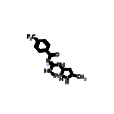 CC(C)N/C(=N/C(=O)c1ccc(C(F)(F)F)cc1)NC1CC(C)NN1